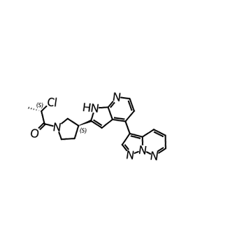 C[C@H](Cl)C(=O)N1CC[C@H](c2cc3c(-c4cnn5ncccc45)ccnc3[nH]2)C1